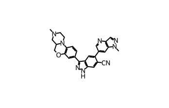 CN1CCN2c3ccc(-c4n[nH]c5cc(C#N)c(-c6cnc7cnn(C)c7c6)cc45)cc3OCC2C1